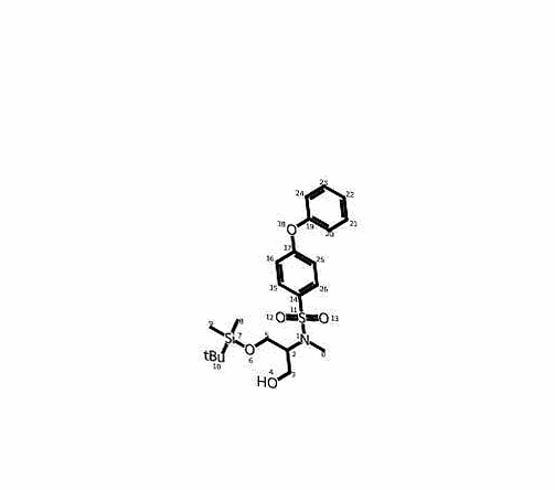 CN(C(CO)CO[Si](C)(C)C(C)(C)C)S(=O)(=O)c1ccc(Oc2ccccc2)cc1